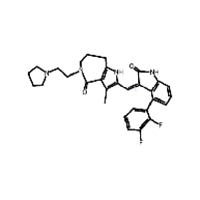 Cc1c(/C=C2\C(=O)Nc3cccc(-c4cccc(F)c4F)c32)[nH]c2c1C(=O)N(CCN1CCCC1)CCC2